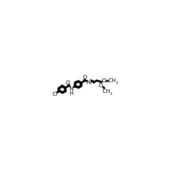 CCOC(CCCNC(=O)c1ccc(NC(=O)c2ccc(Cl)cc2)cc1)OCC